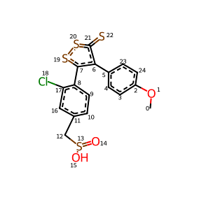 COc1ccc(-c2c(-c3ccc(CS(=O)O)cc3Cl)ssc2=S)cc1